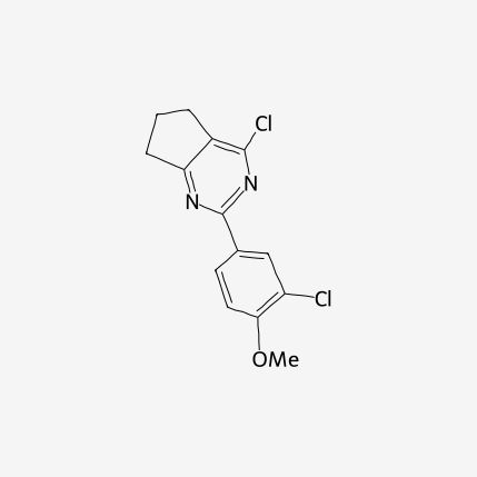 COc1ccc(-c2nc(Cl)c3c(n2)CCC3)cc1Cl